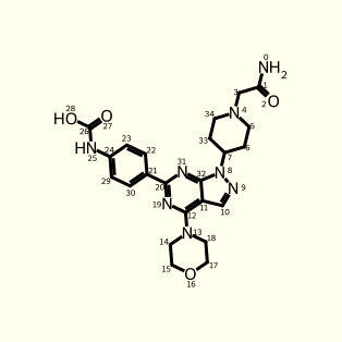 NC(=O)CN1CCC(n2ncc3c(N4CCOCC4)nc(-c4ccc(NC(=O)O)cc4)nc32)CC1